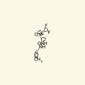 CN1CCN(CCCNC(=O)Nc2cccc(Cn3nc(-c4cc(F)cc(F)c4)ccc3=O)c2)CC1